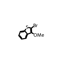 COc1c(Br)sc2ccccc12